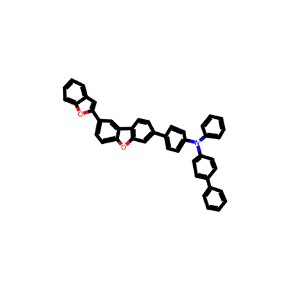 c1ccc(-c2ccc(N(c3ccccc3)c3ccc(-c4ccc5c(c4)oc4ccc(-c6cc7ccccc7o6)cc45)cc3)cc2)cc1